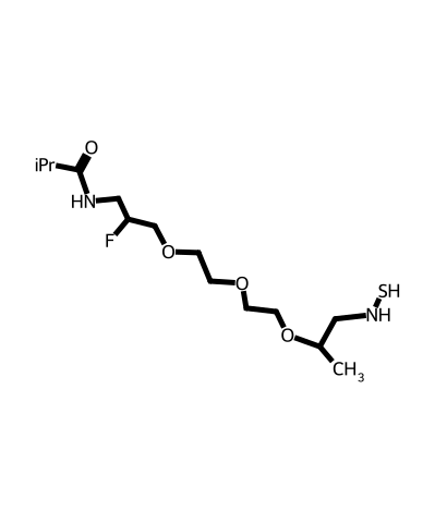 CC(CNS)OCCOCCOCC(F)CNC(=O)C(C)C